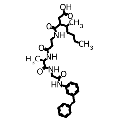 CCCCC(C)C(CC(=O)O)C(=O)NCCC(=O)NC(C)C(=O)NCC(=O)Nc1cccc(Cc2ccccc2)c1